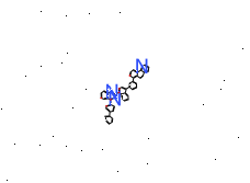 c1ccc(-c2ccc(-c3nc(-c4ccc(-c5cccc(-c6cccc7c6ccc6cccnc67)c5)c5ccccc45)nc4ccccc34)cc2)cc1